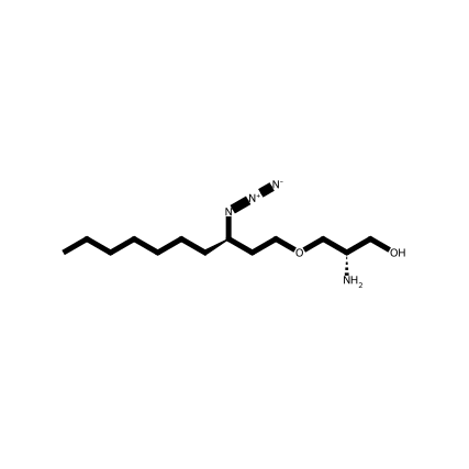 CCCCCCC[C@H](CCOC[C@@H](N)CO)N=[N+]=[N-]